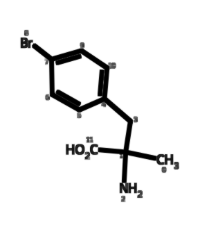 CC(N)(Cc1ccc(Br)cc1)C(=O)O